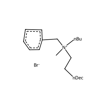 CCCCCCCCCCCC[N+](C)(CCCC)Cc1ccccc1.[Br-]